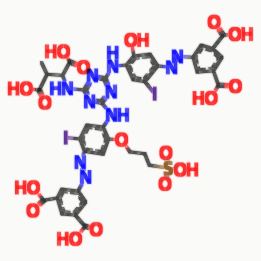 CC(C(=O)O)C(Nc1nc(Nc2cc(I)c(N=Nc3cc(C(=O)O)cc(C(=O)O)c3)cc2O)nc(Nc2cc(I)c(N=Nc3cc(C(=O)O)cc(C(=O)O)c3)cc2OCCCS(=O)(=O)O)n1)C(=O)O